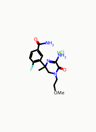 COCCN1CC(C)(c2cc(C(N)=O)ccc2F)N=C(N)C1=O.Cl